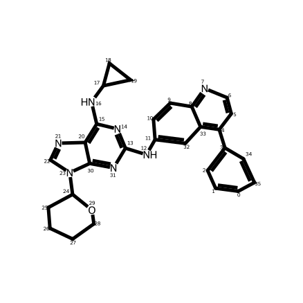 c1ccc(-c2ccnc3ccc(Nc4nc(NC5CC5)c5ncn(C6CCCCO6)c5n4)cc23)cc1